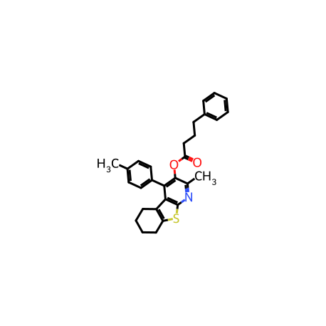 Cc1ccc(-c2c(OC(=O)CCCc3ccccc3)c(C)nc3sc4c(c23)CCCC4)cc1